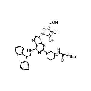 CC(C)(C)OC(=O)N[C@@H]1CCCN(c2nc(NCC(c3ccccc3)c3ccccc3)c3ncn([C@@H]4O[C@H](CO)[C@@H](O)[C@H]4O)c3n2)C1